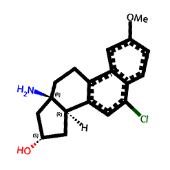 COc1ccc2c(Cl)cc3c(c2c1)CC[C@@]1(N)C[C@@H](O)C[C@H]31